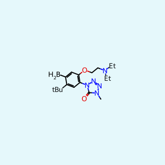 Bc1cc(OCCN(CC)CC)c(-n2nnn(C)c2=O)cc1C(C)(C)C